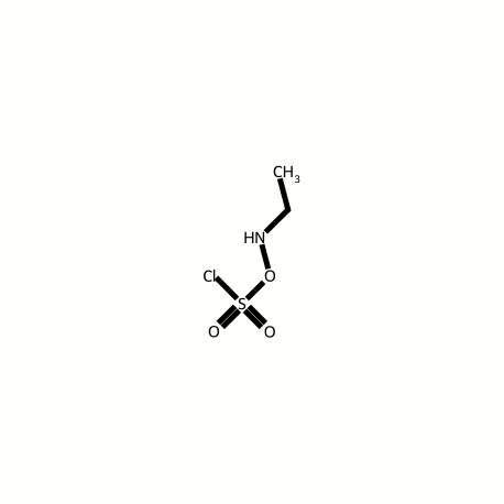 CCNOS(=O)(=O)Cl